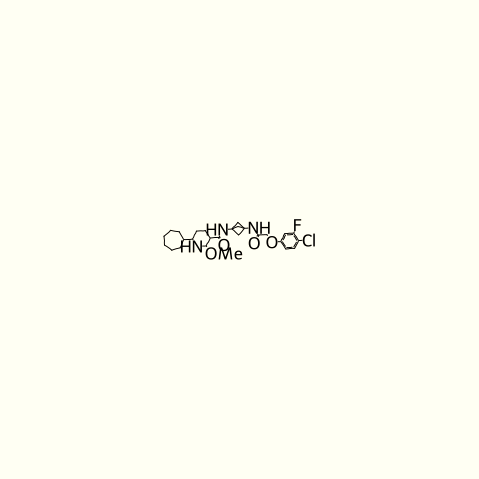 COC1NC(C2CCCCCC2)CCC1C(=O)NC12CC(NC(=O)COc3ccc(Cl)c(F)c3)(C1)C2